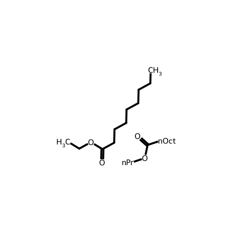 CCCCCCCCC(=O)OCC.CCCCCCCCC(=O)OCCC